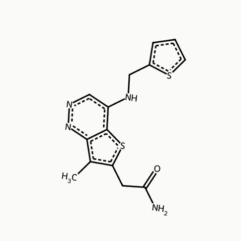 Cc1c(CC(N)=O)sc2c(NCc3cccs3)cnnc12